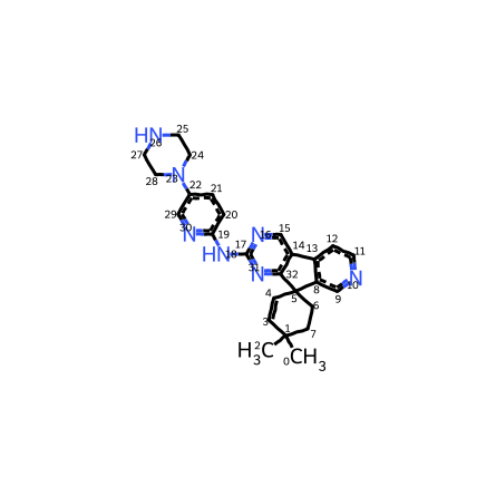 CC1(C)C=CC2(CC1)c1cnccc1-c1cnc(Nc3ccc(N4CCNCC4)cn3)nc12